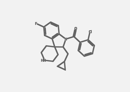 O=C(c1ccccc1Cl)N1c2ccc(F)cc2C2(CCNCC2)C1CC1CC1